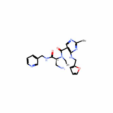 CC(C)CN(C(=O)c1cnc(C(C)(C)C)nc1NCc1ccco1)[C@@H](CN)C(=O)NCc1cccnc1